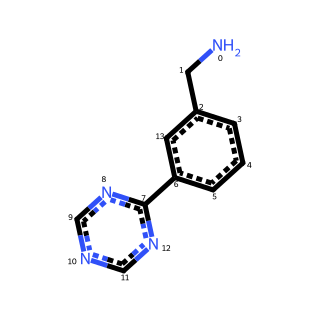 NCc1cccc(-c2ncncn2)c1